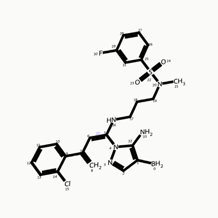 Bc1cnn(/C(=C\C(=C)c2ccccc2Cl)NCCCN(C)S(=O)(=O)c2cccc(F)c2)c1N